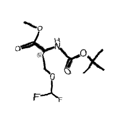 COC(=O)[C@H](COC(F)F)NC(=O)OC(C)(C)C